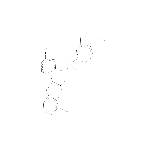 COc1ccc(S(=O)(=O)N2CC3=C(Cc4cccc(F)c4N3)c3ccc(Br)cc32)cc1OC